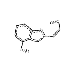 CCOC(=O)c1cccc2oc(/C=C\C=O)cc12